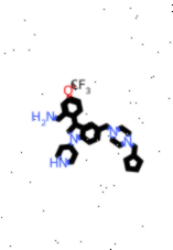 NCC1=CC(OC(F)(F)F)=CCC1C1CN(C2CCNCC2)C2CC=C(CN3CCN(CC4CCCC4)CC3)C=C12